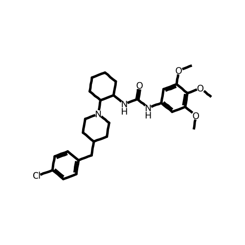 COc1cc(NC(=O)NC2CCCCC2N2CCC(Cc3ccc(Cl)cc3)CC2)cc(OC)c1OC